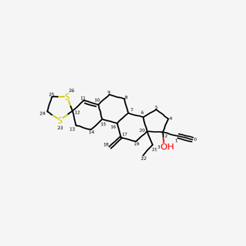 C#CC1(O)CCC2C3CCC4=CC5(CCC4C3C(=C)CC21CC)SCCS5